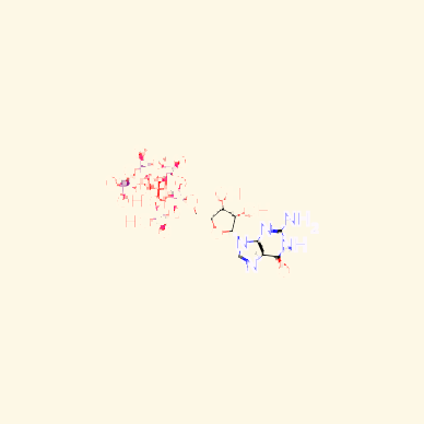 Nc1nc2c(ncn2[C@@H]2O[C@H](COP(=O)(OP(=O)(O)O)OP(=O)(O)OP(=O)(O)OP(=O)(O)O)[C@@H](O)[C@H]2O)c(=O)[nH]1